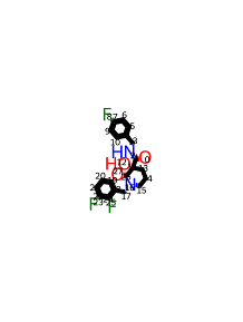 O=C(NCc1ccc(F)cc1)[C@@]1(O)CCCN(Cc2cccc(F)c2F)C1=O